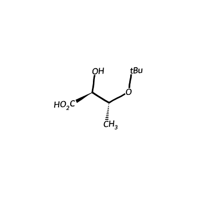 C[C@@H](OC(C)(C)C)[C@H](O)C(=O)O